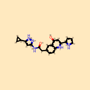 O=C(Cc1ccc2[nH]c(-c3ccc[nH]3)cc(=O)c2c1)Nc1cc(C2CC2)[nH]n1